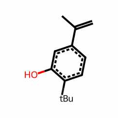 C=C(C)c1ccc(C(C)(C)C)c(O)c1